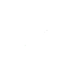 CC(C)([SiH3])C(C)(C)OCCCCCCBr